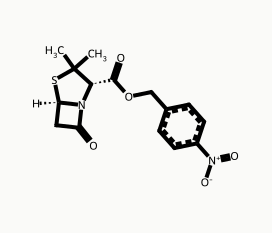 CC1(C)S[C@@H]2CC(=O)N2[C@H]1C(=O)OCc1ccc([N+](=O)[O-])cc1